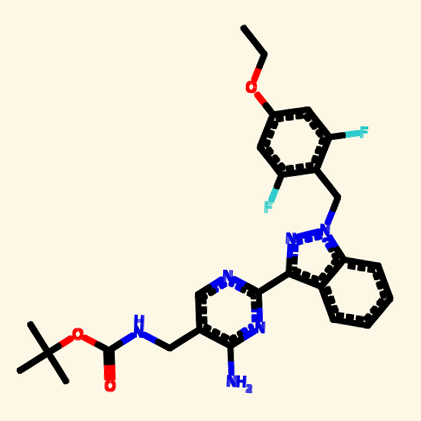 CCOc1cc(F)c(Cn2nc(-c3ncc(CNC(=O)OC(C)(C)C)c(N)n3)c3ccccc32)c(F)c1